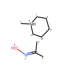 CC(C)=NO.C[SiH]1CCCCC1